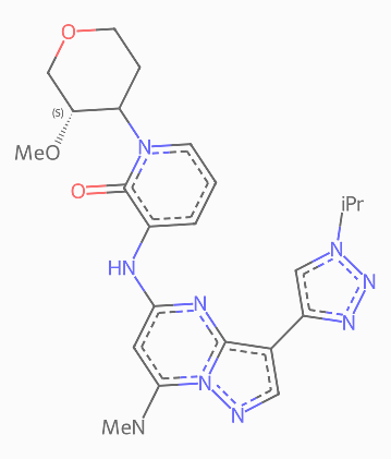 CNc1cc(Nc2cccn(C3CCOC[C@H]3OC)c2=O)nc2c(-c3cn(C(C)C)nn3)cnn12